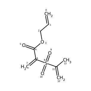 C=CCOC(=O)C(=C)S(=O)(=O)C(=C)C